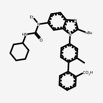 CCCCc1nc2ccc(N(CC)C(=O)NC3CCCCC3)cc2n1-c1ccc(-c2ccccc2C(=O)O)c(C)c1